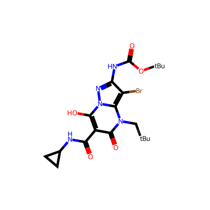 CC(C)(C)Cn1c(=O)c(C(=O)NC2CC2)c(O)n2nc(NC(=O)OC(C)(C)C)c(Br)c12